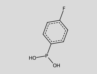 OP(O)c1ccc(F)cc1